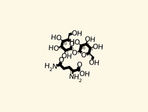 NC(=O)CC[C@H](N)C(=O)O.OC[C@H]1O[C@H](O[C@H]2O[C@H](CO)[C@@H](O)[C@H](O)[C@H]2O)[C@H](O)[C@@H](O)[C@@H]1O